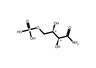 NC(=O)[C@@H](O)[C@H](O)COP(=O)(O)O